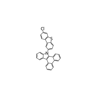 Clc1ccc2c(c1)sc1ccc(-n3c4ccccc4c4c5ccccc5c5ccccc5c43)cc12